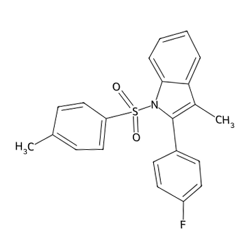 Cc1ccc(S(=O)(=O)n2c(-c3ccc(F)cc3)c(C)c3ccccc32)cc1